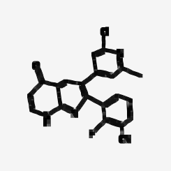 Cc1cc(-c2cc3c(=O)cc[nH]c3nc2-c2cccc(C#N)c2F)cc(Cl)n1